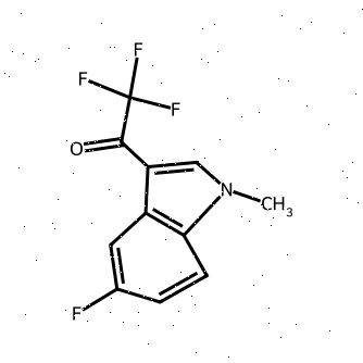 Cn1cc(C(=O)C(F)(F)F)c2cc(F)ccc21